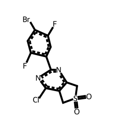 O=S1(=O)Cc2nc(-c3cc(F)c(Br)cc3F)nc(Cl)c2C1